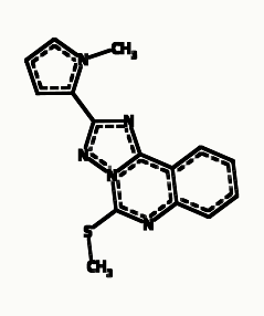 CSc1nc2ccccc2c2nc(-c3cccn3C)nn12